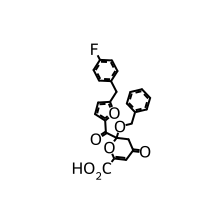 O=C1C=C(C(=O)O)OC(OCc2ccccc2)(C(=O)c2ccc(Cc3ccc(F)cc3)o2)C1